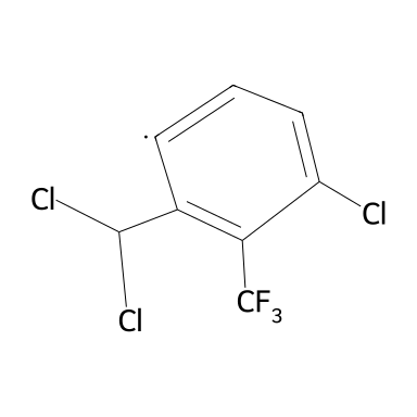 FC(F)(F)c1c(C(Cl)Cl)[c]ccc1Cl